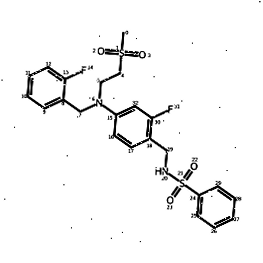 CS(=O)(=O)CCN(Cc1ccccc1F)c1ccc(CNS(=O)(=O)c2ccccc2)c(F)c1